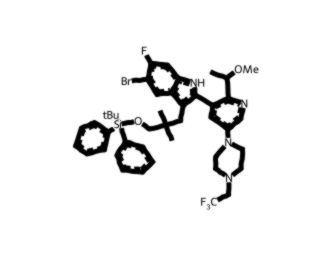 COC(C)c1ncc(N2CCN(CC(F)(F)F)CC2)cc1-c1[nH]c2cc(F)c(Br)cc2c1CC(C)(C)CO[Si](c1ccccc1)(c1ccccc1)C(C)(C)C